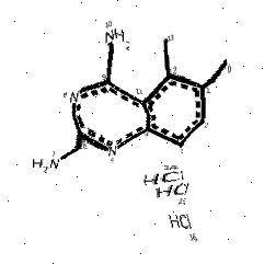 Cc1ccc2nc(N)nc(N)c2c1C.Cl.Cl.Cl